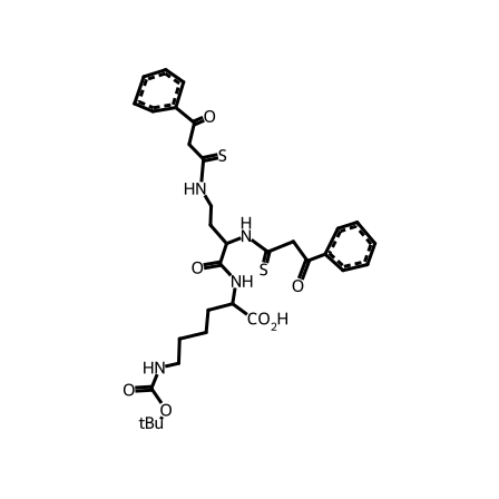 CC(C)(C)OC(=O)NCCCCC(NC(=O)C(CCNC(=S)CC(=O)c1ccccc1)NC(=S)CC(=O)c1ccccc1)C(=O)O